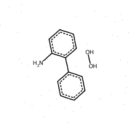 Nc1ccccc1-c1ccccc1.OO